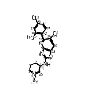 CCN1CCC[C@@H](Nc2nc3nc(-c4ccc(Cl)cc4O)c(Cl)cc3o2)C1